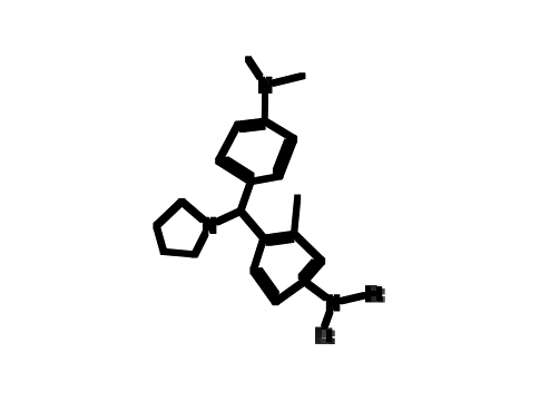 CCN(CC)c1ccc(C(c2ccc(N(C)C)cc2)N2CCCC2)c(C)c1